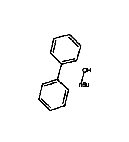 CCCCO.c1ccc(-c2ccccc2)cc1